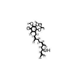 COC1=C(OC)C(OC(C)=O)C(CC=C(C)CCC=C(C)CC(O)C=C(C)C)C(C)C1=O